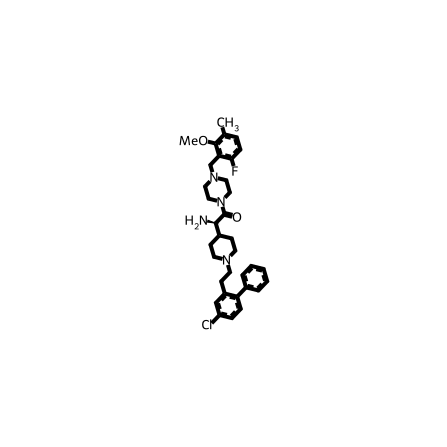 COc1c(C)ccc(F)c1CN1CCN(C(=O)[C@H](N)C2CCN(CCc3cc(Cl)ccc3-c3ccccc3)CC2)CC1